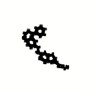 O=C(O)C1C2Cc3cc(OCc4ccc5c(c4)N(c4ccccc4)CCO5)ncc3C21